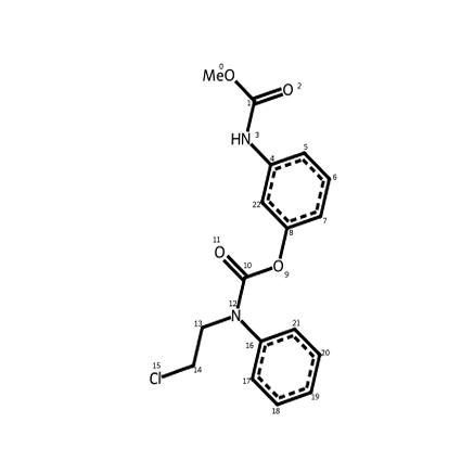 COC(=O)Nc1cccc(OC(=O)N(CCCl)c2ccccc2)c1